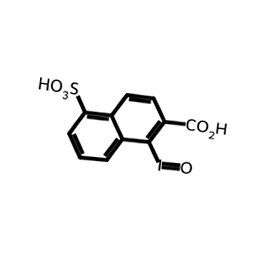 O=Ic1c(C(=O)O)ccc2c(S(=O)(=O)O)cccc12